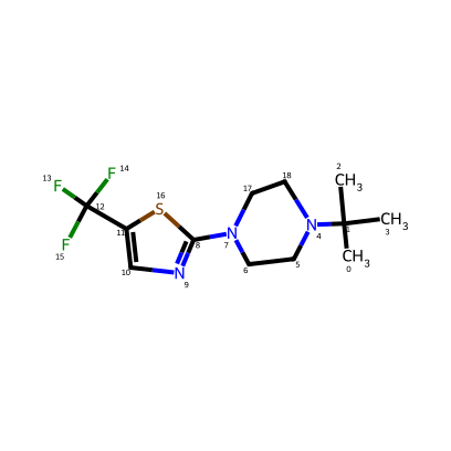 CC(C)(C)N1CCN(c2ncc(C(F)(F)F)s2)CC1